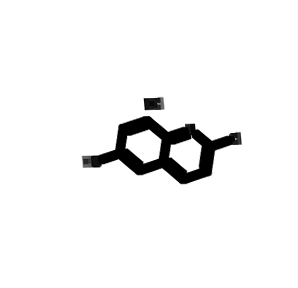 Cl.Oc1ccc2nc(Cl)ccc2c1